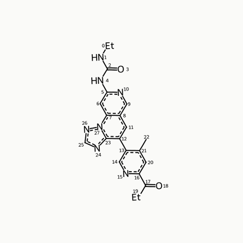 CCNC(=O)Nc1cc2c(cn1)cc(-c1cnc(C(=O)CC)cc1C)c1ncnn12